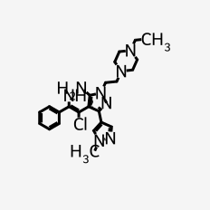 CCN1CCN(CCn2nc(-c3cnn(C)c3)c(/C(Cl)=C(\N)c3ccccc3)c2N)CC1